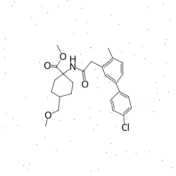 COCC1CCC(NC(=O)Cc2cc(-c3ccc(Cl)cc3)ccc2C)(C(=O)OC)CC1